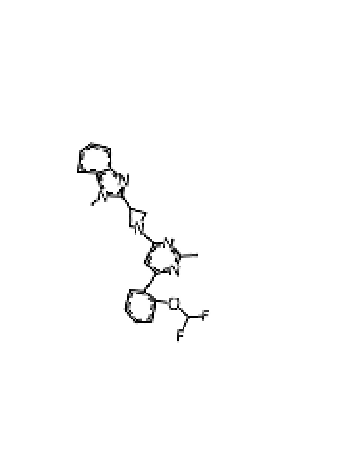 Cc1nc(-c2ccccc2OC(F)F)cc(N2CC(c3nc4ccccc4n3C)C2)n1